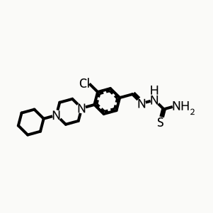 NC(=S)N/N=C/c1ccc(N2CCN(C3CCCCC3)CC2)c(Cl)c1